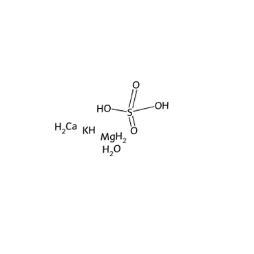 O.O=S(=O)(O)O.[CaH2].[KH].[MgH2]